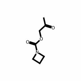 CC(=O)COC(=O)N1CCC1